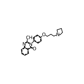 Cc1nc2ccccc2c(=O)n1-c1ccc(OCCCN2CCCC2)cc1